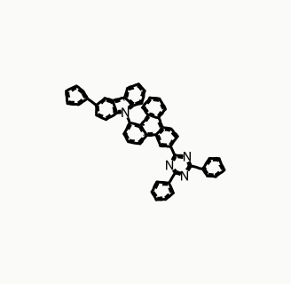 c1ccc(-c2ccc3c(c2)c2ccccc2n3-c2cccc3c4cc(-c5nc(-c6ccccc6)nc(-c6ccccc6)n5)ccc4c4ccccc4c23)cc1